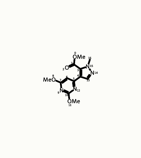 COC(=O)c1c(-c2cc(OC)nc(OC)n2)cnn1C